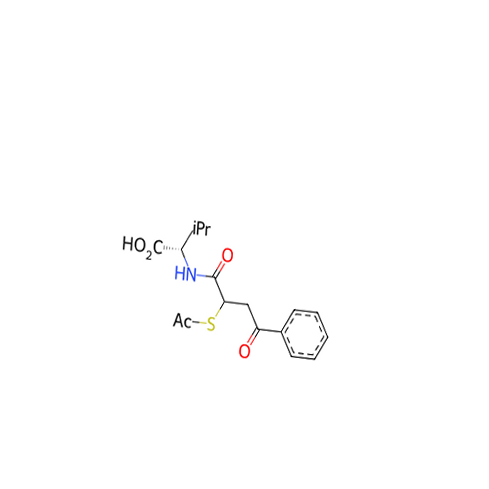 CC(=O)SC(CC(=O)c1ccccc1)C(=O)N[C@H](C(=O)O)C(C)C